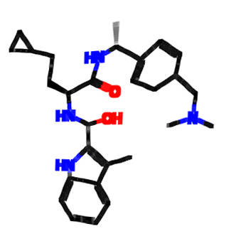 Cc1c(C(O)N[C@@H](CCC2CC2)C(=O)N[C@H](C)C2=CCC(CN(C)C)C=C2)[nH]c2ccccc12